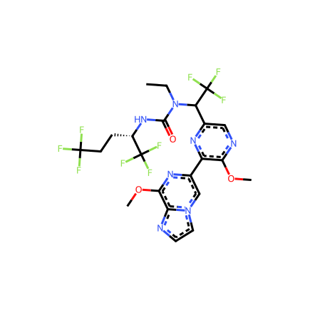 CCN(C(=O)N[C@@H](CCC(F)(F)F)C(F)(F)F)C(c1cnc(OC)c(-c2cn3ccnc3c(OC)n2)n1)C(F)(F)F